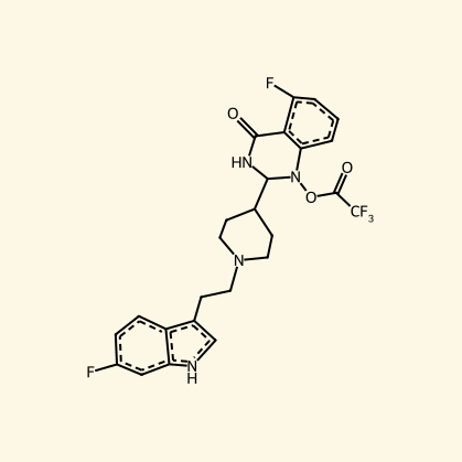 O=C1NC(C2CCN(CCc3c[nH]c4cc(F)ccc34)CC2)N(OC(=O)C(F)(F)F)c2cccc(F)c21